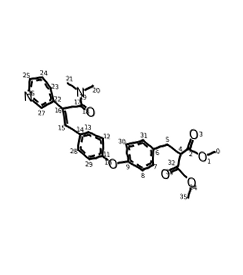 COC(=O)C(Cc1ccc(Oc2ccc(C=C(C(=O)N(C)C)c3cccnc3)cc2)cc1)C(=O)OC